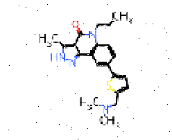 CCCn1c(=O)c2c(C)[nH]nc2c2cc(-c3ccc(CN(C)C)s3)ccc21